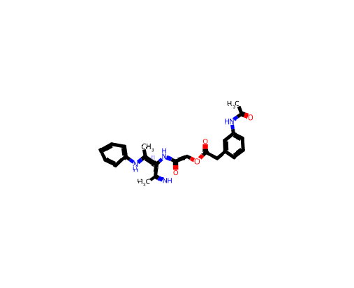 CC(=N)/C(NC(=O)COC(=O)Cc1cccc(NC(C)=O)c1)=C(/C)Nc1ccccc1